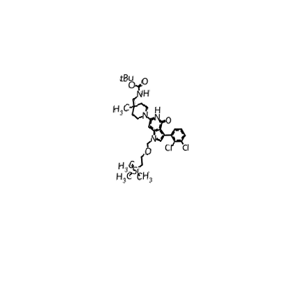 CC1(CNC(=O)OC(C)(C)C)CCN(c2cc3c(c(-c4cccc(Cl)c4Cl)cn3COCC[Si](C)(C)C)c(=O)[nH]2)CC1